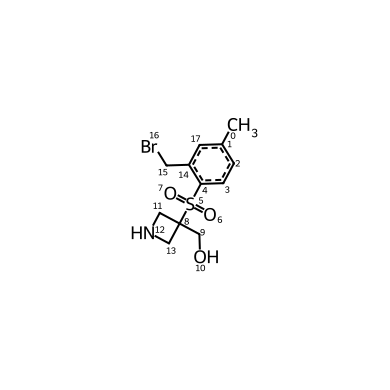 Cc1ccc(S(=O)(=O)C2(CO)CNC2)c(CBr)c1